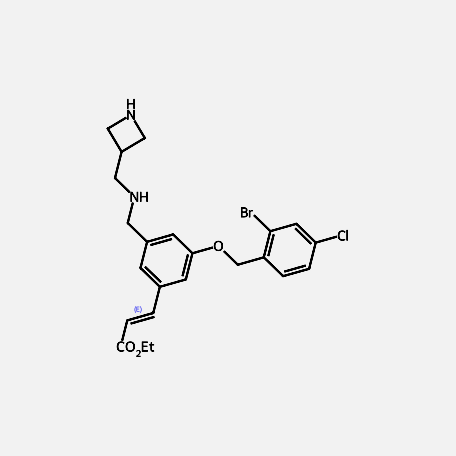 CCOC(=O)/C=C/c1cc(CNCC2CNC2)cc(OCc2ccc(Cl)cc2Br)c1